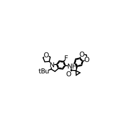 CC(C)(C)C1Cc2cc(NC(=O)C3(c4ccc5c(c4)OCO5)CC3)c(F)cc2N1C1CCOC1